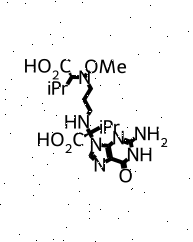 CON(CCCN[C@](C(=O)O)(C(C)C)n1cnc2c(=O)[nH]c(N)nc21)[C@H](C(=O)O)C(C)C